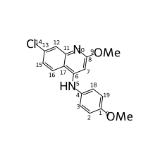 COc1ccc(Nc2cc(OC)nc3cc(Cl)ccc23)cc1